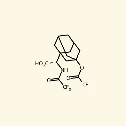 O=C(O)[C@@H](NC(=O)C(F)(F)F)C12CC3CC(CC(OC(=O)C(F)(F)F)(C3)C1)C2